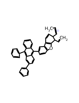 C=CC1c2oc3ccc(-c4c5ccccc5c(-c5ccccc5)c5cc(-c6ccccc6)ccc45)cc3c2C=CC1/C=C\C